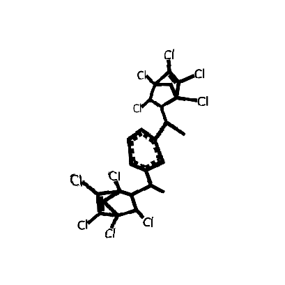 CC(c1cccc(C(C)C2C(Cl)C3(Cl)CC2(Cl)C(Cl)=C3Cl)c1)C1C(Cl)C2(Cl)CC1(Cl)C(Cl)=C2Cl